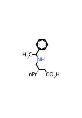 CCC[C@H](CNC(C)c1ccccc1)CC(=O)O